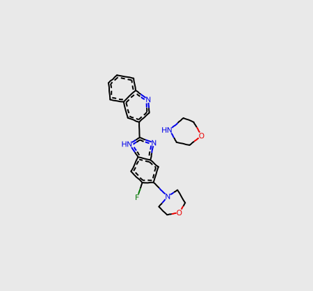 C1COCCN1.Fc1cc2[nH]c(-c3cnc4ccccc4c3)nc2cc1N1CCOCC1